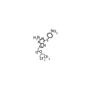 Nc1nc(Sc2ccc([N+](=O)[O-])cc2)c2ncn(CC3(O[C](CC(F)(F)F)CC(F)(F)F)CC3)c2n1